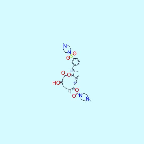 C/C(=C\c1cccc(S(=O)(=O)N2CCN(C)CC2)c1)[C@H]1OC(=O)C[C@H](O)CC[C@H](C)[C@@H](OC(=O)N2CCN(C)CC2)/C=C/[C@@H]1C